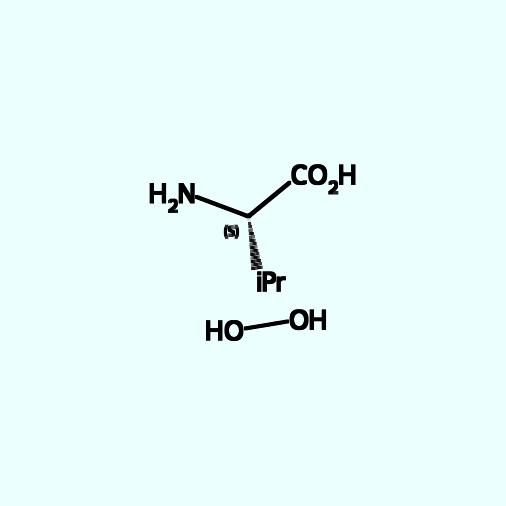 CC(C)[C@H](N)C(=O)O.OO